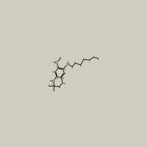 CCCCCCCOc1cc2c(cc1OC)OC(C)(C)CC2